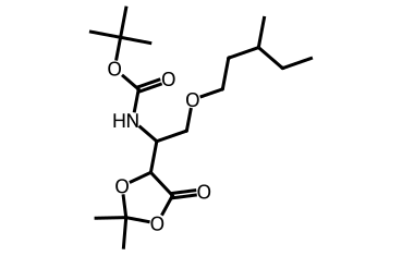 CCC(C)CCOCC(NC(=O)OC(C)(C)C)C1OC(C)(C)OC1=O